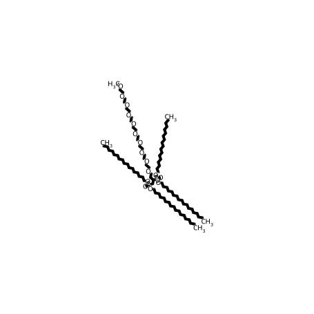 CCCCCCCCCCCCCCCCCCOP(=O)(CC(CCOCCOCCOCCOCCOCCOCCOCCOCCOCCOC)P(=O)(OCCCCCCCCCCCCCCCCCC)OCCCCCCCCCCCCCCCCCC)OCCCCCCCCCCCCCCCCCC